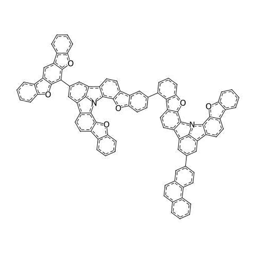 c1ccc2c(c1)ccc1cc(-c3cc4c5ccc6c7ccccc7oc6c5n5c4c(c3)c3ccc4c(oc6cccc(-c7ccc8oc9c(ccc%10c%11cc(-c%12c%13oc%14ccccc%14c%13cc%13c%12oc%12ccccc%12%13)cc%12c%13ccc%14c%15ccccc%15oc%14c%13n(c%12%11)c%109)c8c7)c64)c35)ccc12